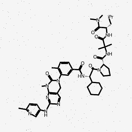 Cc1ccc(Nc2ncc3c(n2)N(C)C(=O)N(c2cc(C(=O)N[C@H](C(=O)N4CCC[C@H]4C(=O)NC(C)(C)C(=O)N[C@@H](CC(C)C)C(=O)N(C)C)C4CCCCC4)ccc2C)C3)cn1